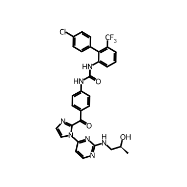 C[C@H](O)CNc1nccc(-n2ccnc2C(=O)c2ccc(NC(=O)Nc3cccc(C(F)(F)F)c3-c3ccc(Cl)cc3)cc2)n1